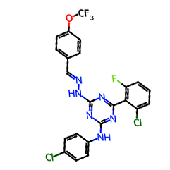 Fc1cccc(Cl)c1-c1nc(NN=Cc2ccc(OC(F)(F)F)cc2)nc(Nc2ccc(Cl)cc2)n1